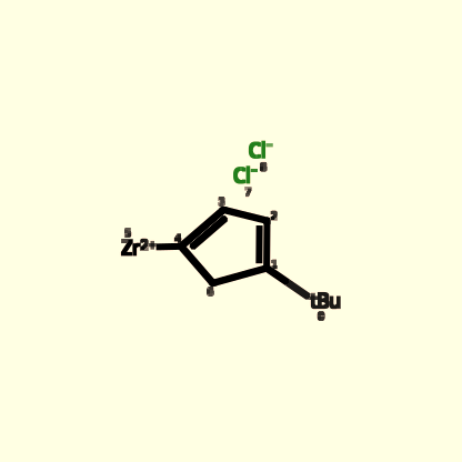 CC(C)(C)C1=CC=[C]([Zr+2])C1.[Cl-].[Cl-]